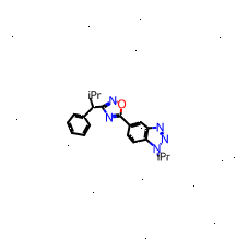 CC(C)C(c1ccccc1)c1noc(-c2ccc3c(c2)nnn3C(C)C)n1